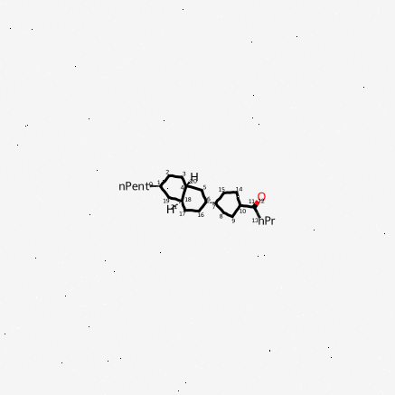 CCCCC[C@H]1CC[C@@H]2C[C@H](C3CCC(C(=O)CCC)CC3)CC[C@H]2C1